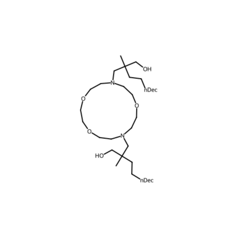 CCCCCCCCCCCCC(C)(CO)CN1CCOCCOCCN(CC(C)(CO)CCCCCCCCCCCC)CCOCC1